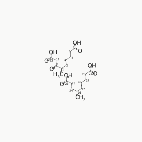 CC(CCCCC(=O)O)C(=O)CC(=O)O.CC(CCCCC(=O)O)CCC(=O)O